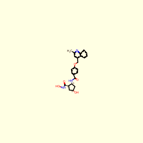 Cc1cc(COc2ccc(C(=O)N[C@@H]3C[C@@H](O)C[C@H]3C(=O)NO)cc2)c2ccccc2n1